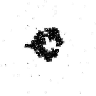 CC(=O)N(C)c1ccc(Nc2cc(C)nc3ccc4nc[nH]c4c23)cc1.CC[C@@]1(O)C[C@H](O[C@H]2C[C@H](N(C)C)[C@H](O[C@H]3C[C@H](O)[C@H](O[C@H]4CCC(=O)[C@H](C)O4)[C@H](C)O3)[C@H](C)O2)c2c(cc3c(c2O)C(=O)c2c(O)cccc2C3=O)[C@H]1C(=O)OC.Cl